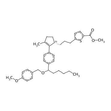 CCCCCC(OCc1ccc(OC)cc1)c1ccc(C2=C(C)CC[C@@H]2CCCc2ccc(C(=O)OC)s2)cc1